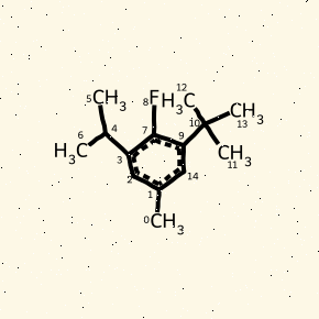 Cc1cc(C(C)C)c(F)c(C(C)(C)C)c1